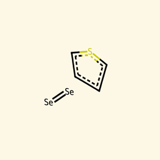 [Se]=[Se].c1ccsc1